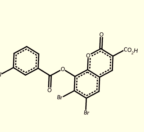 O=C(Oc1c(Br)c(Br)cc2cc(C(=O)O)c(=O)oc12)c1cccc(Cl)c1